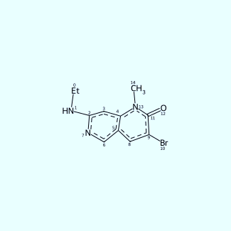 CCNc1cc2c(cn1)cc(Br)c(=O)n2C